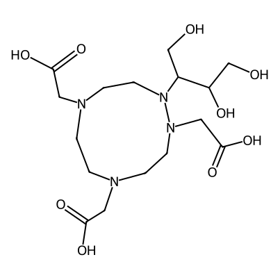 O=C(O)CN1CCN(CC(=O)O)CCN(C(CO)C(O)CO)N(CC(=O)O)CC1